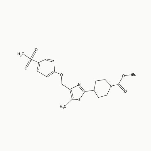 Cc1sc(C2CCN(C(=O)OC(C)(C)C)CC2)nc1COc1ccc(S(C)(=O)=O)cc1